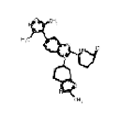 Cc1nc2c(s1)CC(n1c([C@@H]3CCCC(=O)N3)nc3cc(-c4c(C)noc4C)ccc31)CC2